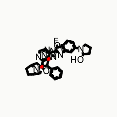 O=C(c1cc(-c2nc3cc(N4CCCC4O)ccc3o2)ccn1)N1C2CCC1CN(C(c1ccccc1)c1nnn(C(F)F)n1)C2